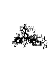 C=C(c1cc(C(C)(C)O[Si](C)(C)C(C)(C)C)cc(-c2ccc(F)c(Cl)c2)n1)C(F)(F)F